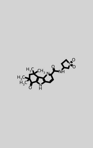 CC1(C)CC(C)(C)c2c([nH]c3ccc(C(=O)NC4CCS(=O)(=O)C4)nc23)C1=O